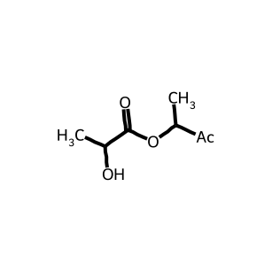 CC(=O)C(C)OC(=O)C(C)O